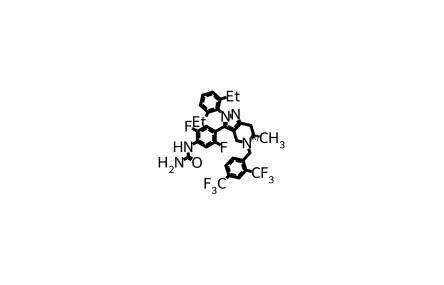 CCc1cccc(CC)c1-n1nc2c(c1-c1cc(F)c(NC(N)=O)cc1F)CN(Cc1ccc(C(F)(F)F)cc1C(F)(F)F)[C@H](C)C2